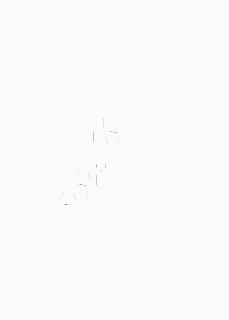 CCCCCCCOc1ccc(C2CCC(c3ccc(-c4ccc(C)cc4)c(F)c3F)OC2)c(F)c1F